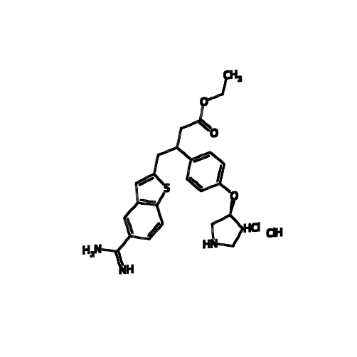 CCOC(=O)CC(Cc1cc2cc(C(=N)N)ccc2s1)c1ccc(O[C@H]2CCNC2)cc1.Cl.Cl